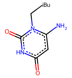 CCC(C)Cn1c(N)cc(=O)[nH]c1=O